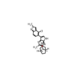 Cc1nc2c(-c3ccc4nn(C)cc4c3Cl)c[nH]c2nc1N1[C@@H]2CC[C@H]1C[C@H](N)C2